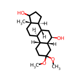 COC1(OC)CC[C@@H]2[C@H]3CC[C@]4(C)C(O)CC[C@H]4[C@@H]3C[C@@H](O)[C@@H]2C1